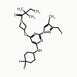 CCC(C)(C)C(=O)N1CC(Oc2cc(NC3CCC(F)(F)CC3)nc(-n3cc(C)c(CF)n3)n2)C1